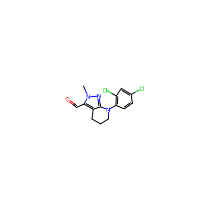 Cn1nc2c(c1C=O)CCCN2c1ccc(Cl)cc1Cl